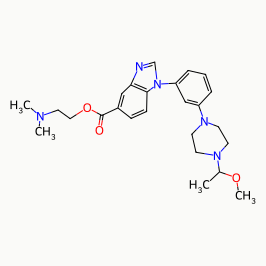 COC(C)N1CCN(c2cccc(-n3cnc4cc(C(=O)OCCN(C)C)ccc43)c2)CC1